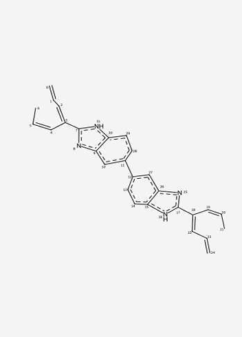 C=C/C=C(\C=C/C)c1nc2cc(-c3ccc4[nH]c(C(/C=C\C)=C/C=C)nc4c3)ccc2[nH]1